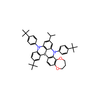 CC(C)c1cc2c3c(c1)N(c1ccc(C(C)(C)C)cc1)c1c(ccc4c1OCCCO4)B3c1cc(C(C)(C)C)ccc1N2c1ccc(C(C)(C)C)cc1